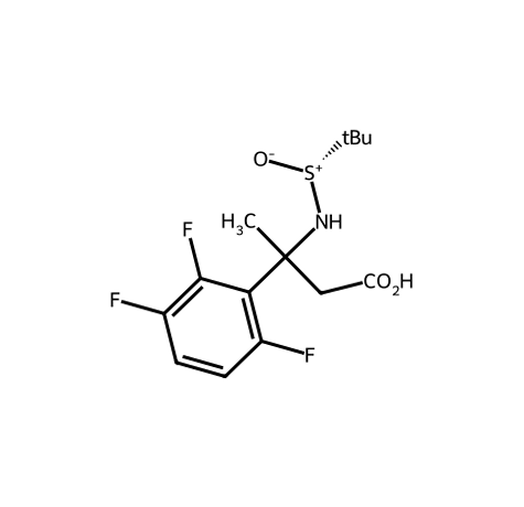 CC(CC(=O)O)(N[S@+]([O-])C(C)(C)C)c1c(F)ccc(F)c1F